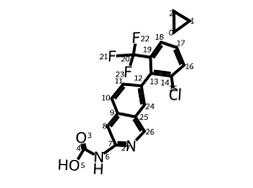 C1CC1.O=C(O)Nc1cc2ccc(-c3c(Cl)cccc3C(F)(F)F)cc2cn1